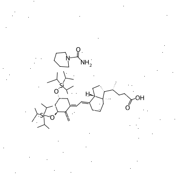 C=C1/C(=C/C=C2CCC[C@]3(C)[C@@H]([C@H](C)CCC(=O)O)CC[C@@H]23)C[C@@H](O[Si](C(C)C)(C(C)C)C(C)C)C[C@@H]1O[Si](C(C)C)(C(C)C)C(C)C.NC(=O)N1CCCCC1